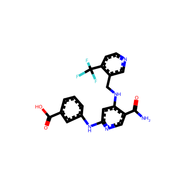 NC(=O)c1cnc(Nc2cccc(C(=O)O)c2)cc1NCc1cnccc1C(F)(F)F